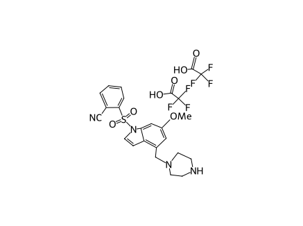 COc1cc(CN2CCNCC2)c2ccn(S(=O)(=O)c3ccccc3C#N)c2c1.O=C(O)C(F)(F)F.O=C(O)C(F)(F)F